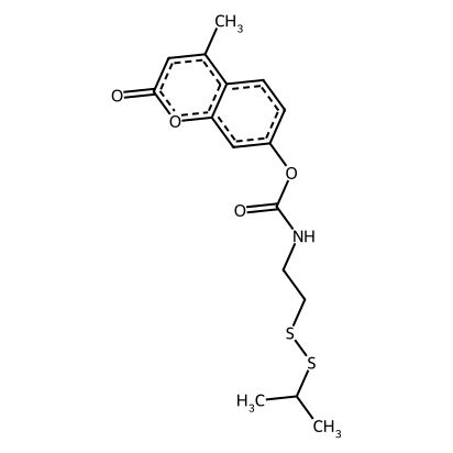 Cc1cc(=O)oc2cc(OC(=O)NCCSSC(C)C)ccc12